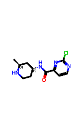 C[C@H]1C[C@H](NC(=O)c2ccnc(Cl)n2)CCN1